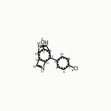 Oc1c2c(-c3ccc(Cl)cc3)c3c(c1N=C2)C=N3